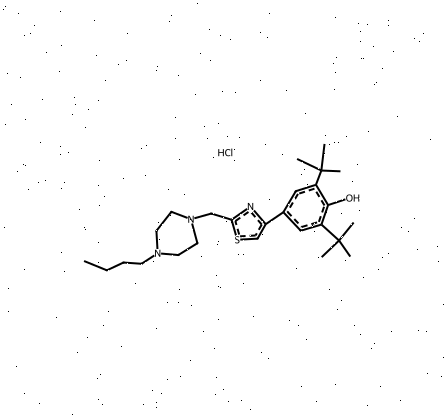 CCCCN1CCN(Cc2nc(-c3cc(C(C)(C)C)c(O)c(C(C)(C)C)c3)cs2)CC1.Cl